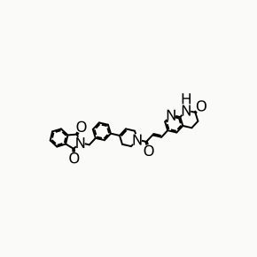 O=C1CCc2cc(/C=C/C(=O)N3CC=C(c4cccc(CN5C(=O)c6ccccc6C5=O)c4)CC3)cnc2N1